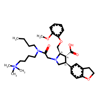 CCCCN(CCCC[N+](C)(C)C)C(=O)CN1C[C@H](c2ccc3c(c2)CCO3)[C@@H](C(=O)O)[C@@H]1COc1ccccc1OC